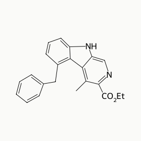 CCOC(=O)c1ncc2[nH]c3cccc(Cc4ccccc4)c3c2c1C